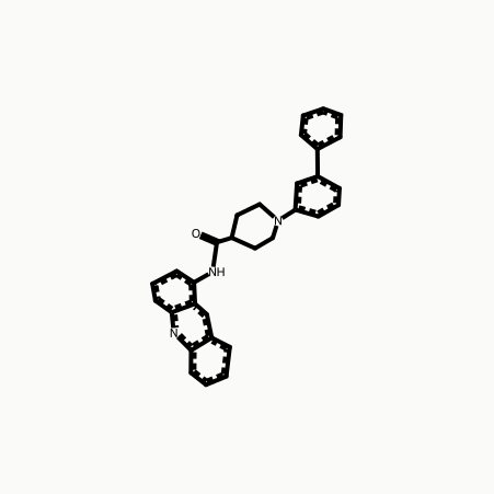 O=C(Nc1cccc2nc3ccccc3cc12)C1CCN(c2cccc(-c3ccccc3)c2)CC1